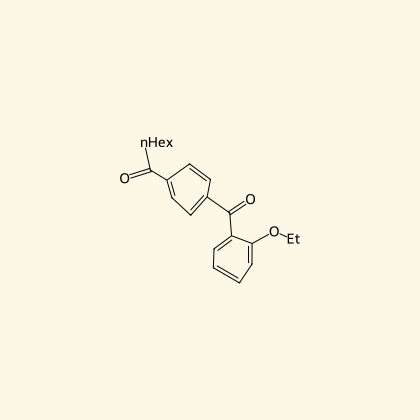 CCCCCCC(=O)c1ccc(C(=O)c2ccccc2OCC)cc1